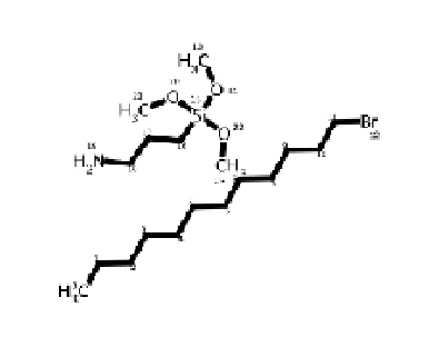 CCCCCCCCCCCCBr.CO[Si](CCCN)(OC)OC